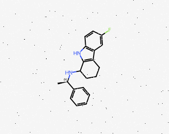 C[C@@H](NC1CCCc2c1[nH]c1ccc(F)cc21)c1ccccc1